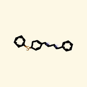 C1=CC(Sc2ccccc2)CC=C1/C=C/C=C/c1ccccc1